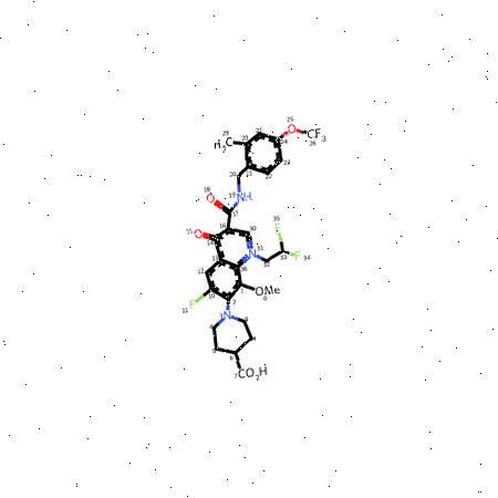 COc1c(N2CCC(C(=O)O)CC2)c(F)cc2c(=O)c(C(=O)NCc3ccc(OC(F)(F)F)cc3C)cn(CC(F)F)c12